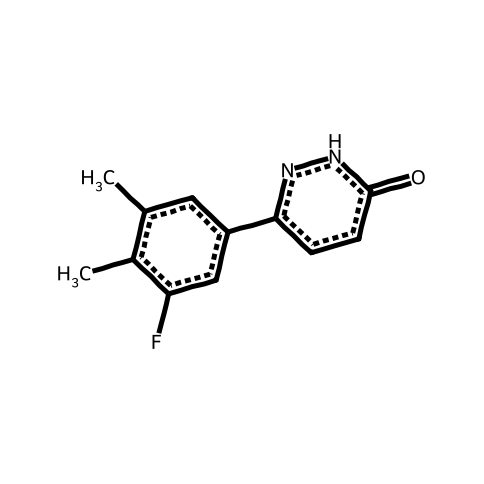 Cc1cc(-c2ccc(=O)[nH]n2)cc(F)c1C